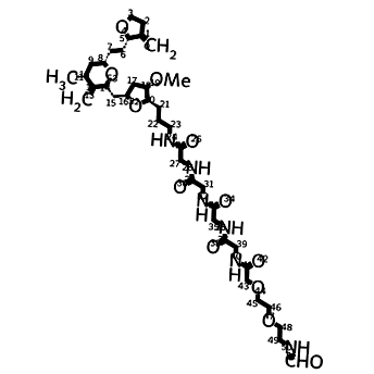 C=C1CCO[C@H]1CC[C@H]1C[C@@H](C)C(=C)[C@@H](C[C@H]2C[C@@H](OC)[C@@H](CCCNC(=O)CNC(=O)CNC(=O)CNC(=O)CNC(=O)COCCOCCNC=O)O2)O1